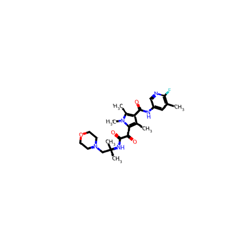 Cc1cc(NC(=O)c2c(C)c(C(=O)C(=O)NC(C)(C)CN3CCOCC3)n(C)c2C)cnc1F